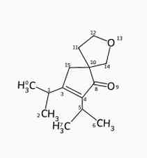 CC(C)C1=C(C(C)C)C(=O)C2(CCOC2)C1